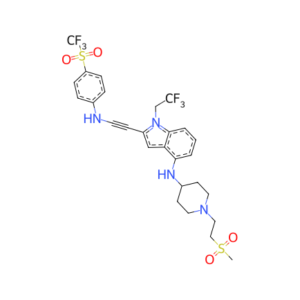 CS(=O)(=O)CCN1CCC(Nc2cccc3c2cc(C#CNc2ccc(S(=O)(=O)C(F)(F)F)cc2)n3CC(F)(F)F)CC1